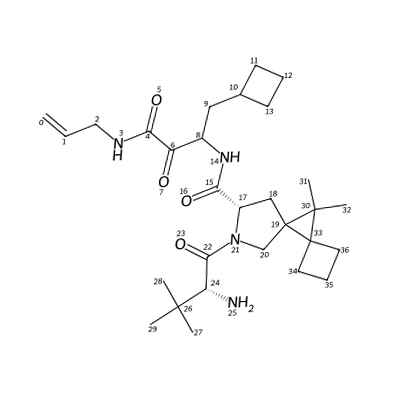 C=CCNC(=O)C(=O)C(CC1CCC1)NC(=O)[C@@H]1CC2(CN1C(=O)[C@H](N)C(C)(C)C)C(C)(C)C21CCC1